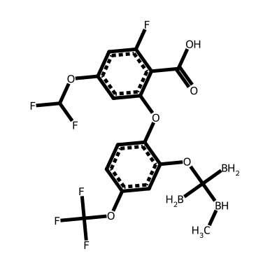 BC(B)(BC)Oc1cc(OC(F)(F)F)ccc1Oc1cc(OC(F)F)cc(F)c1C(=O)O